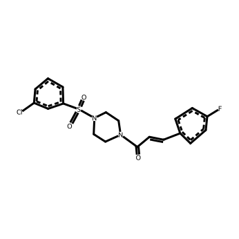 O=C(C=Cc1ccc(F)cc1)N1CCN(S(=O)(=O)c2cccc(Cl)c2)CC1